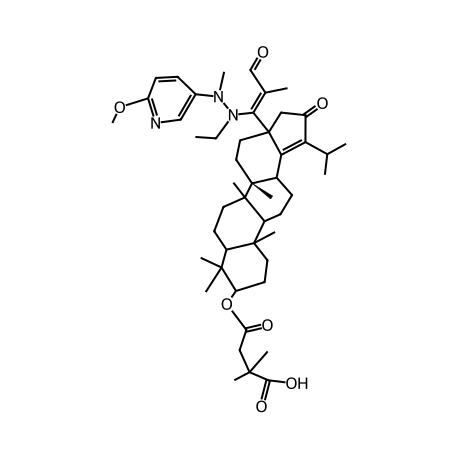 CCN(/C(=C(/C)C=O)C12CC[C@]3(C)C(CCC4C5(C)CCC(OC(=O)CC(C)(C)C(=O)O)C(C)(C)C5CCC43C)C1=C(C(C)C)C(=O)C2)N(C)c1ccc(OC)nc1